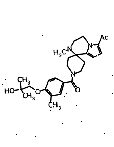 CC(=O)c1ccc2n1CCN(C)C21CCN(C(=O)c2ccc(OCC(C)(C)O)c(C)c2)CC1